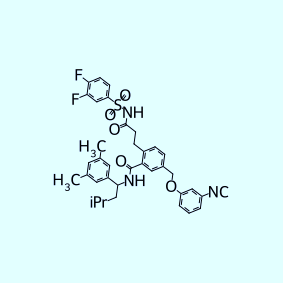 [C-]#[N+]c1cccc(OCc2ccc(CCC(=O)NS(=O)(=O)c3ccc(F)c(F)c3)c(C(=O)NC(CC(C)C)c3cc(C)cc(C)c3)c2)c1